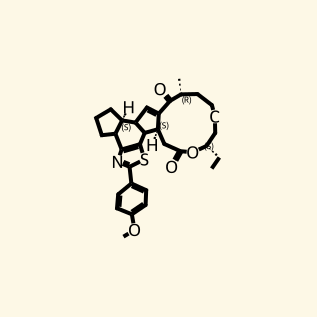 CC[C@H]1CCCC[C@@H](C)C(=O)C2=CC3C(c4sc(-c5ccc(OC)cc5)nc4C4CCC[C@H]43)[C@@H]2CC(=O)O1